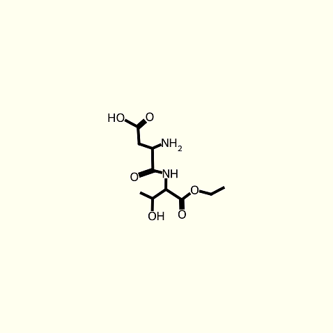 CCOC(=O)C(NC(=O)C(N)CC(=O)O)C(C)O